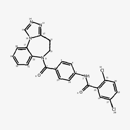 O=C(Nc1ccc(C(=O)N2CCc3nncn3-c3ccccc32)cc1)c1cc(Cl)ccc1Cl